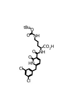 CC(C)(C)OC(=O)NCCC[C@H](NC(=O)c1ccc(Cc2cc(Cl)cc(Cl)c2)[nH]c1=O)C(=O)O